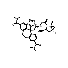 C=C(CN[C@@H](C)CC1(c2nnn[nH]2)c2ccc(C(=O)N(C)C)cc2CCc2cc(C(=O)N(C)C)ccc21)N1C(C#N)C[C@@H]2C[C@@H]21